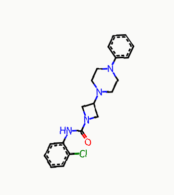 O=C(Nc1ccccc1Cl)N1CC(N2CCN(c3ccccc3)CC2)C1